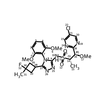 COc1cccc(OC)c1-n1c(NS(=O)(=O)[C@@H](C)[C@H](OC)c2ncc(Cl)cn2)nnc1C1CC(C)(F)C1